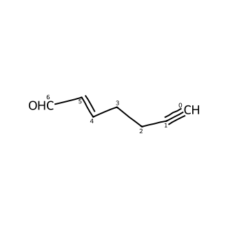 C#CCCC=CC=O